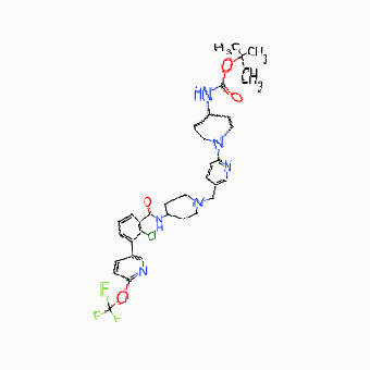 CC(C)(C)OC(=O)NC1CCN(c2ccc(CN3CCC(NC(=O)c4cccc(-c5ccc(OC(F)(F)F)nc5)c4Cl)CC3)cn2)CC1